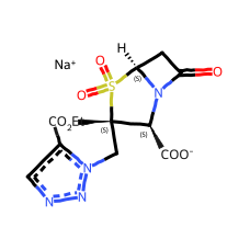 CCOC(=O)c1cnnn1C[C@@]1(C)[C@H](C(=O)[O-])N2C(=O)C[C@@H]2S1(=O)=O.[Na+]